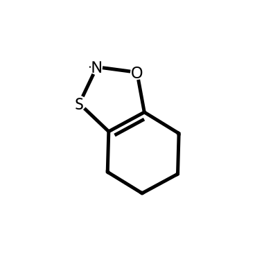 C1CCC2=C(C1)O[N]S2